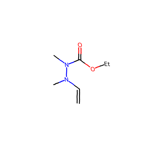 C=CN(C)N(C)C(=O)OCC